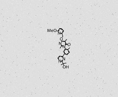 COc1cccc(COc2nc(C)n(-c3cc(-c4ccnc(C(C)(C)O)n4)ccc3C)c(=O)c2C)n1